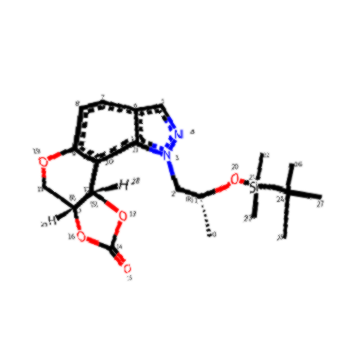 C[C@H](Cn1ncc2ccc3c(c21)[C@@H]1OC(=O)O[C@@H]1CO3)O[Si](C)(C)C(C)(C)C